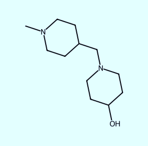 CN1CCC(CN2CCC(O)CC2)CC1